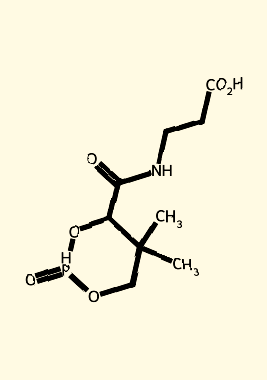 CC1(C)CO[PH](=O)OC1C(=O)NCCC(=O)O